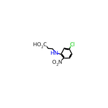 O=C(O)CCNc1cc(Cl)ccc1[N+](=O)[O-]